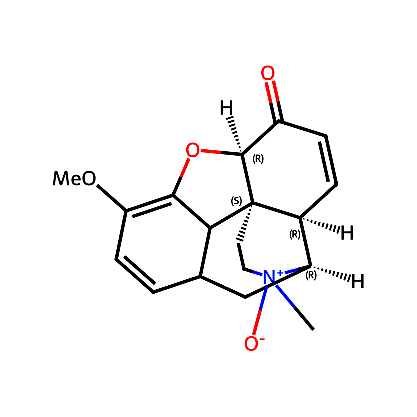 COC1=C2O[C@H]3C(=O)C=C[C@H]4[C@H]5CC(C=C1)C2[C@@]34CC[N+]5(C)[O-]